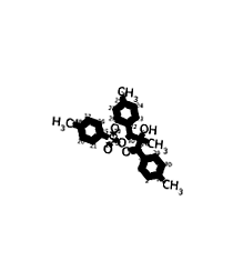 Cc1ccc(C(=O)C(C)(O)C(OS(=O)(=O)c2ccc(C)cc2)c2ccc(C)cc2)cc1